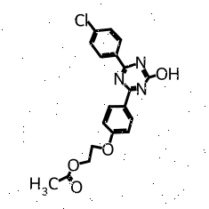 CC(=O)OCCOc1ccc(-c2nc(O)nc(-c3ccc(Cl)cc3)n2)cc1